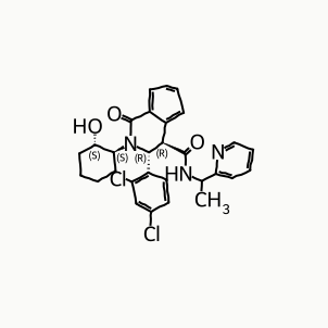 CC(NC(=O)[C@@H]1c2ccccc2C(=O)N([C@H]2CCCC[C@@H]2O)[C@H]1c1ccc(Cl)cc1Cl)c1ccccn1